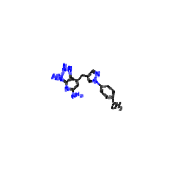 Cc1ccc(-n2cc(Cc3cc(N)nc4[nH]nnc34)cn2)cc1